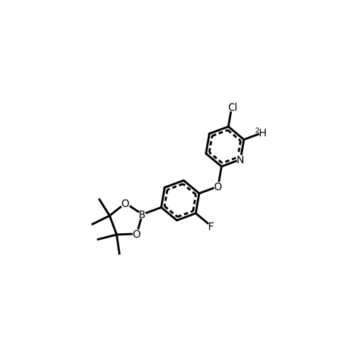 [2H]c1nc(Oc2ccc(B3OC(C)(C)C(C)(C)O3)cc2F)ccc1Cl